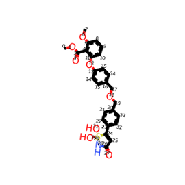 COC(=O)c1c(OC)cccc1Oc1ccc(COCc2ccc(C3=CC(=O)NS3(O)O)cc2)cc1